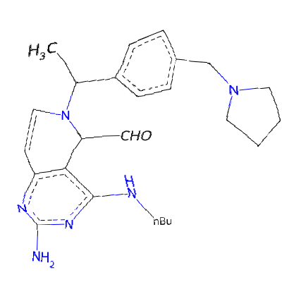 CCCCNc1nc(N)nc2c1C(C=O)N(C(C)c1ccc(CN3CCCC3)cc1)C=C2